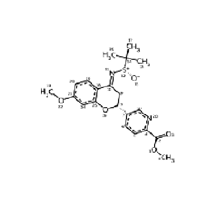 COC(=O)c1ccc([C@H]2C/C(=N\[S@@+]([O-])C(C)(C)C)c3ccc(OC)cc3O2)cn1